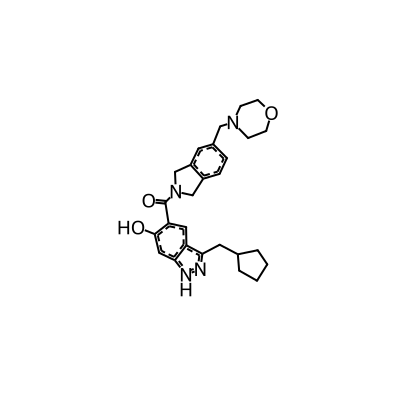 O=C(c1cc2c(CC3CCCC3)n[nH]c2cc1O)N1Cc2ccc(CN3CCOCC3)cc2C1